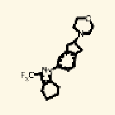 FC(F)(F)c1nn(-c2ccc3c(c2)CC(N2CCOCC2)C3)c2c1CCCC2